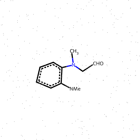 CNc1ccccc1N(C)CC=O